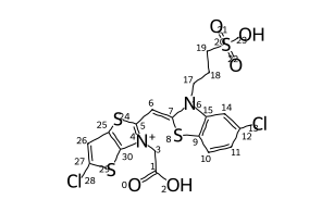 O=C(O)C[n+]1c(C=C2Sc3ccc(Cl)cc3N2CCCS(=O)(=O)O)sc2cc(Cl)sc21